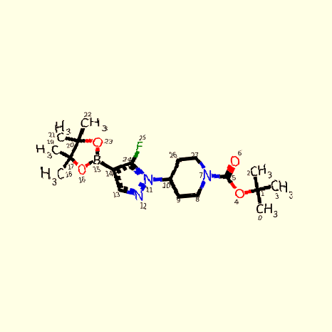 CC(C)(C)OC(=O)N1CCC(n2ncc(B3OC(C)(C)C(C)(C)O3)c2F)CC1